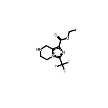 CCOC(=O)c1nc(C(F)(F)F)n2c1CNCC2